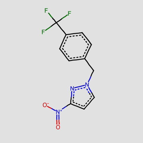 O=[N+]([O-])c1ccn(Cc2ccc(C(F)(F)F)cc2)n1